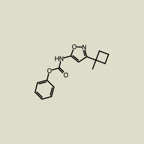 CC1(c2cc(NC(=O)Oc3ccccc3)on2)CCC1